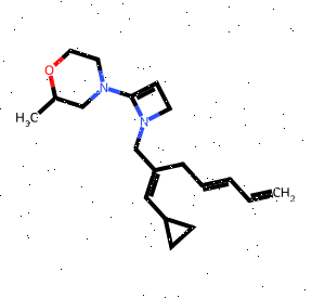 C=C/C=C/C/C(=C\C1CC1)CN1CC=C1N1CCOC(C)C1